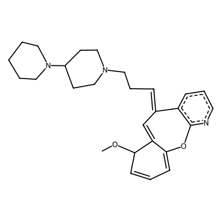 COC1C=CC=C2Oc3ncccc3C(=CCCN3CCC(N4CCCCC4)CC3)C=C21